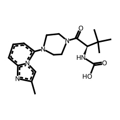 Cc1cn2c(N3CCN(C(=O)[C@H](NC(=O)O)C(C)(C)C)CC3)cccc2n1